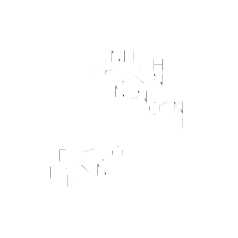 NC(=O)c1cc(NC2CCNC2=O)nc(C2CCC(Oc3ccc(C(F)(F)F)cn3)CC2)n1